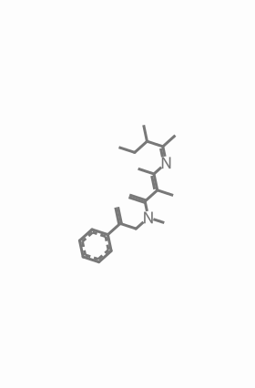 C=C(CN(C)C(=C)/C(C)=C(C)/N=C(/C)C(C)CC)c1ccccc1